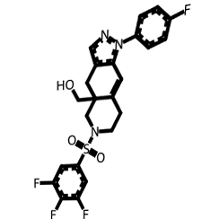 O=S(=O)(c1cc(F)c(F)c(F)c1)N1CCC2=Cc3c(cnn3-c3ccc(F)cc3)CC2(CO)C1